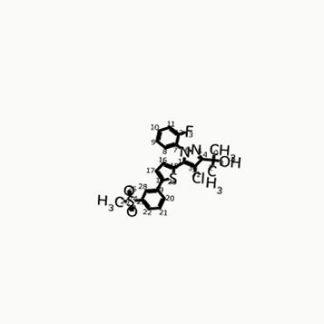 CC(C)(O)c1nn(-c2ccccc2F)c(-c2ccc(-c3cccc(S(C)(=O)=O)c3)s2)c1Cl